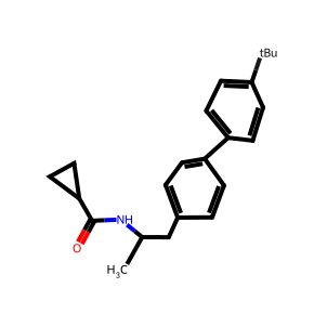 CC(Cc1ccc(-c2ccc(C(C)(C)C)cc2)cc1)NC(=O)C1CC1